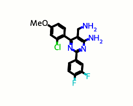 COc1ccc(-c2nc(-c3ccc(F)c(F)c3)nc(N)c2CN)c(Cl)c1